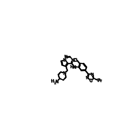 CC(C)c1nc(-c2ccc(Cl)c(Nc3ncnn4ccc(CN5CCC(N)CC5)c34)c2)no1